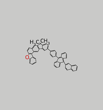 CC1(C)c2ccc(-c3ccc(-c4c5ccccc5c(-c5ccc6ccccc6c5)c5ccccc45)cc3)cc2-c2cc3c(ccc4oc5ccccc5c43)cc21